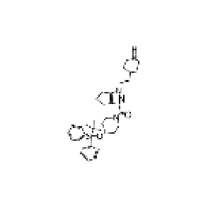 CC(C)(C)[Si](OC1CCN(C(=O)c2nn(CCC3CCNCC3)c3c2CCC3)CC1)(c1ccccc1)c1ccccc1